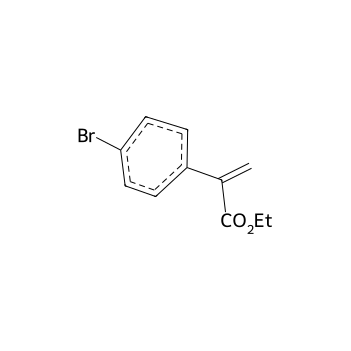 C=C(C(=O)OCC)c1ccc(Br)cc1